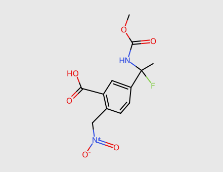 COC(=O)NC(C)(F)c1ccc(C[N+](=O)[O-])c(C(=O)O)c1